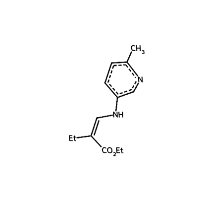 CCOC(=O)/C(=C\Nc1ccc(C)nc1)CC